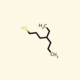 CCCC(CC)CCCS